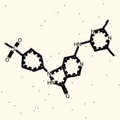 Cc1cc(Nc2cc3c(cn2)c(=O)[nH]n3-c2ccc(S(C)(=O)=O)cc2)nc(C)n1